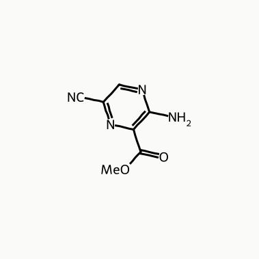 COC(=O)c1nc(C#N)cnc1N